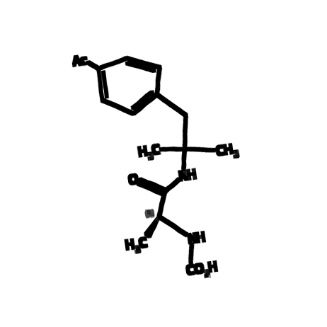 CC(=O)c1ccc(CC(C)(C)NC(=O)[C@H](C)NC(=O)O)cc1